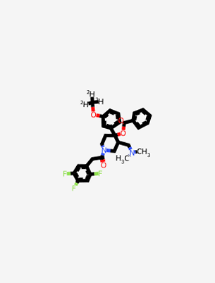 [2H]C([2H])([2H])Oc1cccc(C2(OC(=O)c3ccccc3)CCN(C(=O)Cc3cc(F)c(F)cc3F)CC2CN(C)C)c1